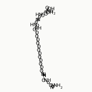 Nc1ccnc(OCc2ccc(CNC(=O)CCc3cn(CCOCCOCCOCCOCCOCCOCCOCCOCCOCCOCCOCCOCCC(=O)NCC(=O)Nc4ccc(N=Nc5ccc(NC(=O)CCC[C@@H](C[C@H](N)C(=O)O)C(=O)O)cc5)cc4)nn3)cc2)n1